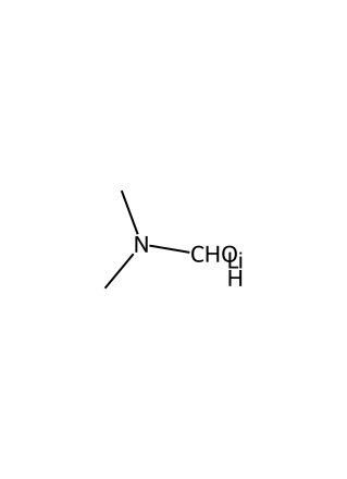 CN(C)C=O.[LiH]